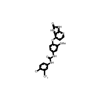 CSc1cc(NC(=O)Nc2ccc(Cl)c(C(F)(F)F)c2)ccc1Oc1ccnc2[nH]c(=O)[nH]c12